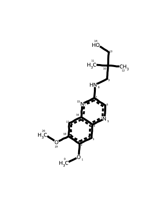 COc1cc2ncc(NCC(C)(C)CO)nc2cc1OC